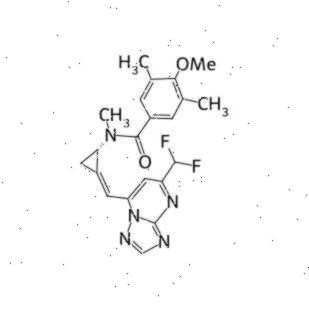 COc1c(C)cc(C(=O)N(C)[C@H]2C/C2=C/c2cc(C(F)F)nc3ncnn23)cc1C